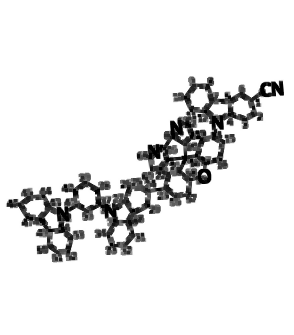 N#Cc1ccc2c(c1)c1ccccc1n2-c1ccc2c(c1)C1(c3cc(-c4ccc5c(c4)c4ccccc4n5-c4cccc(-n5c6ccccc6c6ccccc65)c4)ccc3O2)c2cccnc2-c2ncccc21